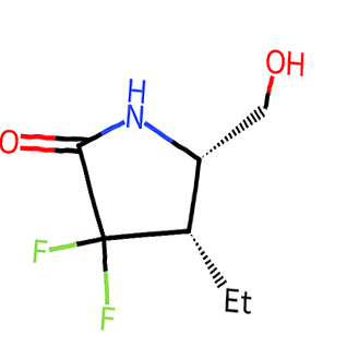 CC[C@H]1[C@@H](CO)NC(=O)C1(F)F